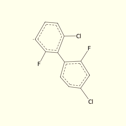 Fc1[c]ccc(Cl)c1-c1ccc(Cl)cc1F